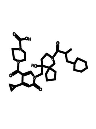 CC(CC1CCCCC1)C(=O)N1CCC(O)(Cn2cc(C(=O)N3CCN(C(=O)O)CC3)c(C3CC3)cc2=O)C2(CCCC2)C1